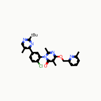 Cc1cccc(COc2nc(C)n(-c3cc(-c4nc(C(C)(C)C)ncc4C)ccc3Cl)c(=O)c2C)n1